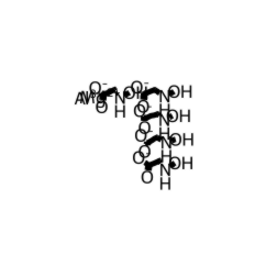 O=C([O-])CNO.O=C([O-])CNO.O=C([O-])CNO.O=C([O-])CNO.O=C([O-])CNO.[Al+3].[Mg+2]